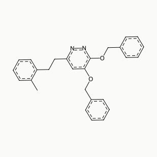 Cc1ccccc1CCc1cc(OCc2ccccc2)c(OCc2ccccc2)nn1